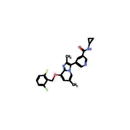 Cc1cc(OCc2c(F)cccc2F)c2nc(C)c(-c3cncc(C(=O)NC4CC4)c3)n2c1